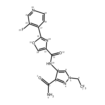 NC(=O)c1nn(CC(F)(F)F)cc1NC(=O)c1coc(-c2ccncc2F)n1